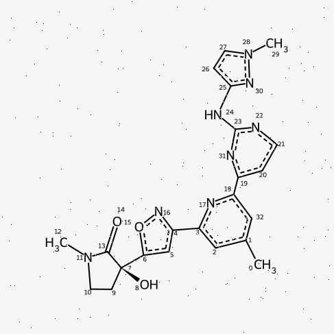 Cc1cc(-c2cc([C@]3(O)CCN(C)C3=O)on2)nc(-c2ccnc(Nc3ccn(C)n3)n2)c1